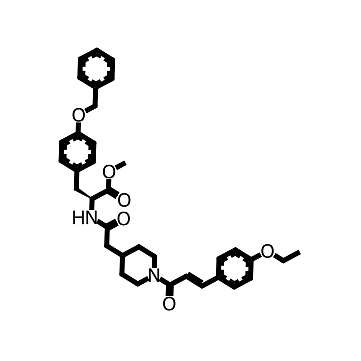 CCOc1ccc(/C=C/C(=O)N2CCC(CC(=O)N[C@@H](Cc3ccc(OCc4ccccc4)cc3)C(=O)OC)CC2)cc1